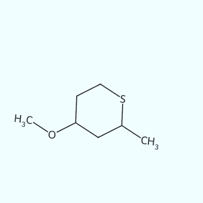 COC1CCSC(C)C1